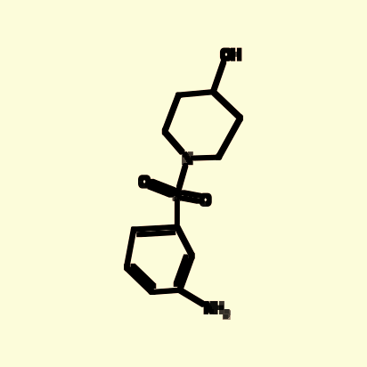 Nc1cccc(S(=O)(=O)N2CCC(O)CC2)c1